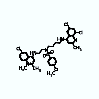 COc1ccc(S(=O)(=O)N(CCCCNc2cc(C)nc3c(Cl)cc(Cl)cc23)CCNc2cc(C)[n+](C)c3ccc(Cl)cc23)cc1